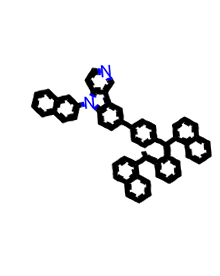 C/C(c1cccc2ccccc12)=c1/cccc/c1=C(/c1ccc(-c2ccc3c(c2)c2cnccc2n3-c2ccc3ccccc3c2)cc1)c1cccc2ccccc12